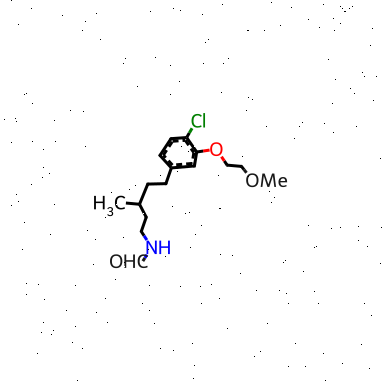 COCCOc1cc(CCC(C)CCNC=O)ccc1Cl